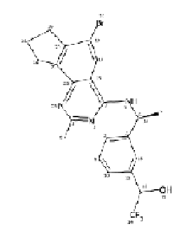 Cc1nc(N[C@@H](C)c2cccc(C(O)C(F)(F)F)c2)c2cc(Br)c3c(c2n1)CCC3